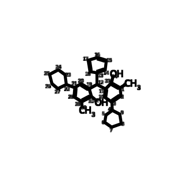 Cc1cc(C2CCCCC2)cc(C(c2ccccc2)c2cc(C3CCCCC3)cc(C)c2O)c1O